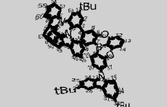 CC(C)(C)c1cc(-c2ccc3c(c2)Oc2cccc4c2B3c2ccc(-n3c5ccc(C(C)(C)C)cc5c5cc(C(C)(C)C)ccc53)cc2O4)c(-n2c3ccccc3c3ccccc32)c(-n2c3ccccc3c3ccccc32)c1